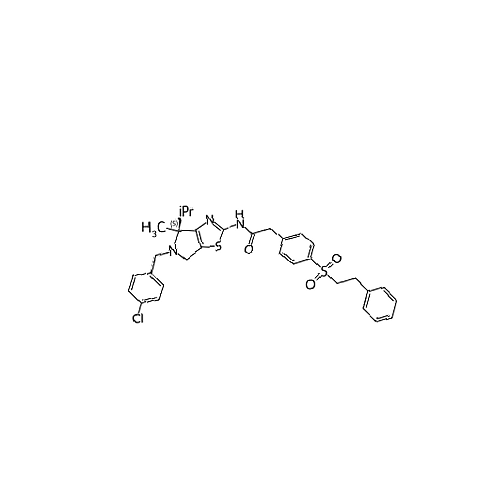 CC(C)[C@@]1(C)c2nc(NC(=O)Cc3ccc(S(=O)(=O)CCc4ccccc4)cc3)sc2CN1Cc1ccc(Cl)cc1